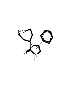 O=C1NC[C@@H](c2ccccc2)N1C1CCNCC1